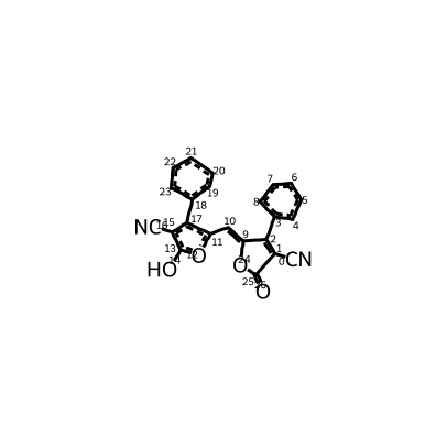 N#CC1=C(c2ccccc2)C(=Cc2oc(O)c(C#N)c2-c2ccccc2)OC1=O